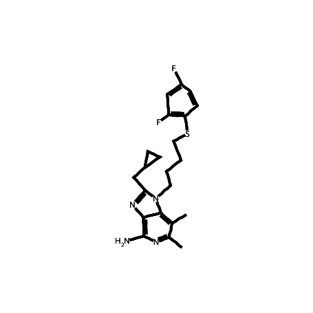 Cc1nc(N)c2nc(CC3CC3)n(CCCCSc3ccc(F)cc3F)c2c1C